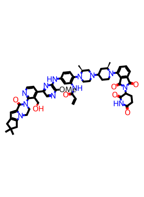 C=CC(=O)Nc1cc(Nc2nc(-c3ccnc(N4CCn5c(cc6c5CC(C)(C)C6)C4=O)c3CO)cnc2OC)ccc1N1CCN(C2CCN(c3cccc4c3C(=O)N(C3CCC(=O)NC3=O)C4=O)[C@H](C)C2)C[C@@H]1C